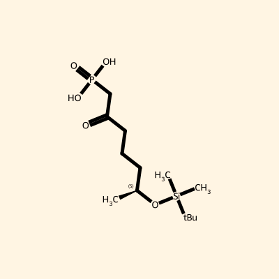 C[C@@H](CCCC(=O)CP(=O)(O)O)O[Si](C)(C)C(C)(C)C